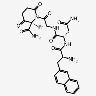 CC(C)[C@]1(C(N)=O)C(=O)CCC(=O)N1C(=O)CNC(=O)[C@H](CC(N)=O)NC(=O)[C@@H](N)Cc1ccc2ccccc2c1